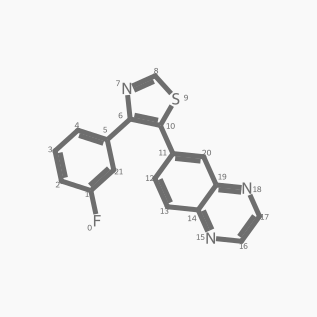 Fc1cccc(-c2ncsc2-c2ccc3nccnc3c2)c1